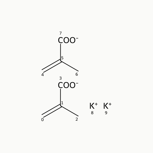 C=C(C)C(=O)[O-].C=C(C)C(=O)[O-].[K+].[K+]